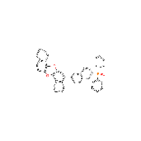 O=P(c1ccccc1)(c1ccccc1)c1ccc2cc(-c3cc4c(c5ccccc35)Oc3ccc5ccccc5c3O4)ccc2c1